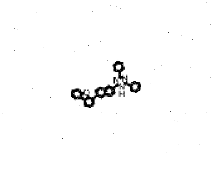 c1ccc(C2=NC(c3ccc4cc(-c5cccc6c5oc5ccccc56)ccc4c3)NC(c3ccccc3)=N2)cc1